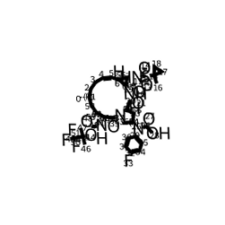 C[C@@H]1CCC=C[C@@H]2C[C@@]2(C(=O)NS(=O)(=O)C2(C)CC2)NC(=O)[C@@H]2C[C@@H](N(C(=O)O)c3ccc(F)cc3)CN2C(=O)[C@@H](NC(=O)OC(C)(C)C(F)(F)F)[C@H](C)C1